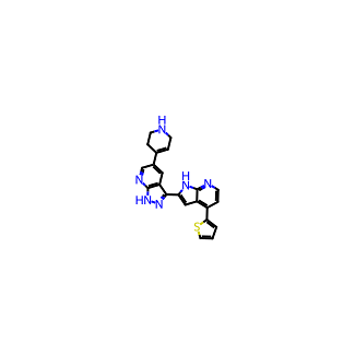 C1=C(c2cnc3[nH]nc(-c4cc5c(-c6cccs6)ccnc5[nH]4)c3c2)CCNC1